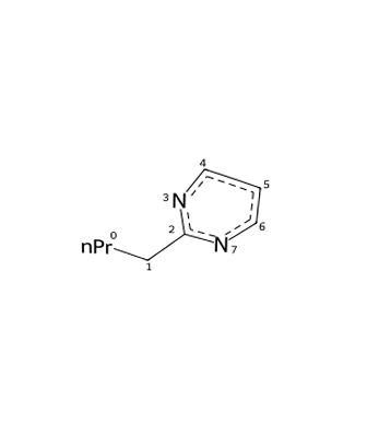 [CH2]CCCc1ncccn1